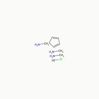 CN.CN.CN.[CH]1C=CC=C1.[Cl][Hf]